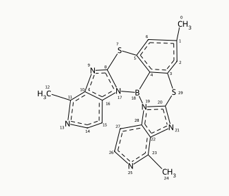 Cc1cc2c3c(c1)Sc1nc4c(C)nccc4n1B3n1c(nc3c(C)nccc31)S2